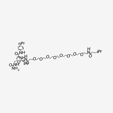 CCCc1ccc(NC(=O)[C@H](CCCNC(N)=O)NC(=O)[C@@H](NC(=O)CCOCCOCCOCCOCCOCCOCCOCCOCCNC(=O)CCC(C)C)C(C)C)cc1